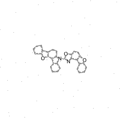 c1ccc2c(c1)oc1c2ccc2c1c1ccccc1n2-c1nc2c(ccc3oc4ccccc4c32)o1